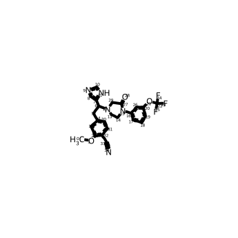 COc1cc(CC(c2cnc[nH]2)N2CCN(c3cccc(OC(F)(F)F)c3)C(=O)C2)ccc1C#N